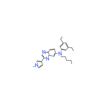 CCCCCN(c1cc(CC)cc(CC)c1)c1ccc2ncc(-c3ccn(C)c3)nc2c1